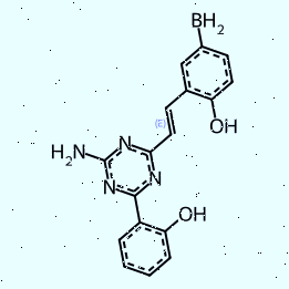 Bc1ccc(O)c(/C=C/c2nc(N)nc(-c3ccccc3O)n2)c1